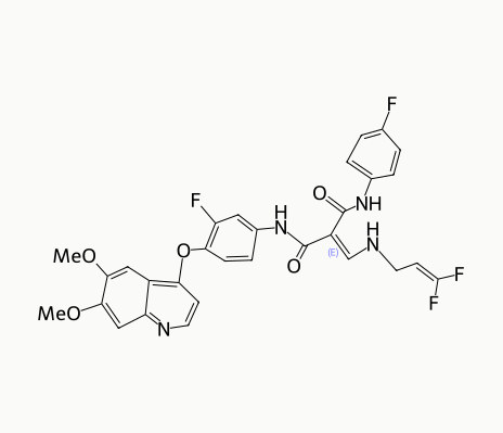 COc1cc2nccc(Oc3ccc(NC(=O)/C(=C/NCC=C(F)F)C(=O)Nc4ccc(F)cc4)cc3F)c2cc1OC